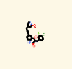 COc1cc(CC#Cc2ccc3c(c2)C(=O)/C(=C\c2ccc(Cl)c(F)c2)C(=O)N3)ccn1